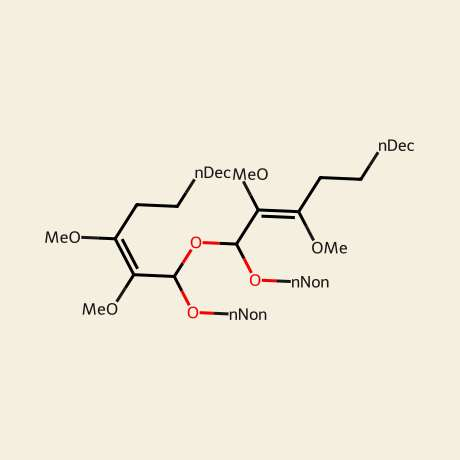 CCCCCCCCCCCCC(OC)=C(OC)C(OCCCCCCCCC)OC(OCCCCCCCCC)C(OC)=C(CCCCCCCCCCCC)OC